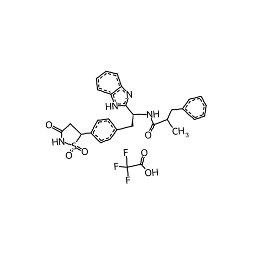 CC(Cc1ccccc1)C(=O)N[C@@H](Cc1ccc(C2CC(=O)NS2(=O)=O)cc1)c1nc2ccccc2[nH]1.O=C(O)C(F)(F)F